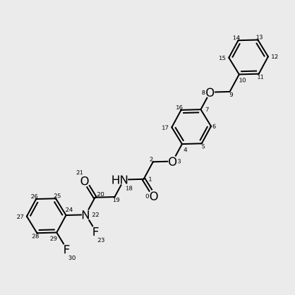 O=C(COc1ccc(OCc2ccccc2)cc1)NCC(=O)N(F)c1ccccc1F